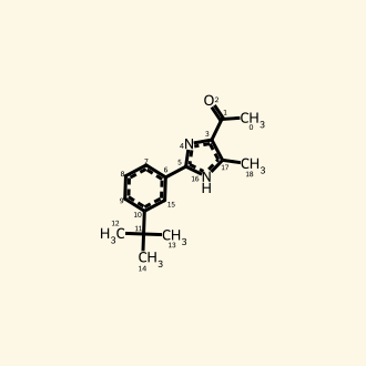 CC(=O)c1nc(-c2cccc(C(C)(C)C)c2)[nH]c1C